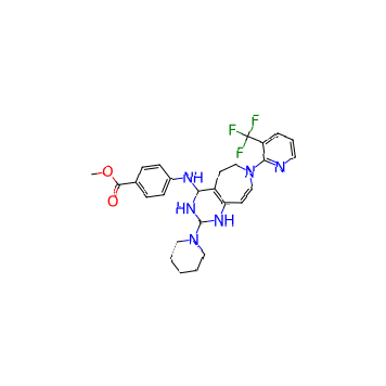 COC(=O)c1ccc(NC2NC(N3CCCCC3)NC3=C2CCN(c2ncccc2C(F)(F)F)C=C3)cc1